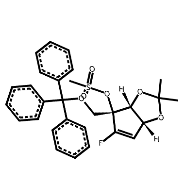 CC1(C)O[C@@H]2[C@@H](C=C(F)[C@]2(COC(c2ccccc2)(c2ccccc2)c2ccccc2)OS(C)(=O)=O)O1